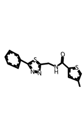 Cc1csc(C(=O)NCc2nnc(-c3ccccc3)s2)c1